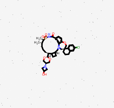 C[C@@H]1[C@@H](C)CCC[C@H]([C@H]2OC[C@H](N3CC(O)C3)CO2)[C@@H]2CC[C@H]2CN2C[C@@]3(CCCc4cc(Cl)ccc43)COc3ccc(cc32)C(=O)NS1(=O)=O